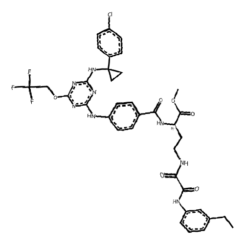 CCc1cccc(NC(=O)C(=O)NCC[C@@H](NC(=O)c2ccc(Nc3nc(NC4(c5ccc(Cl)cc5)CC4)nc(OCC(F)(F)F)n3)cc2)C(=O)OC)c1